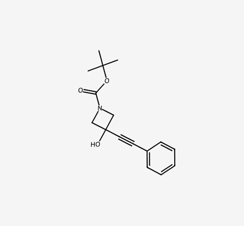 CC(C)(C)OC(=O)N1CC(O)(C#Cc2ccccc2)C1